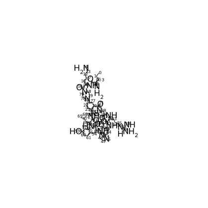 CC[C@H](C)[C@H](N)C(=O)N[C@H](CCCCN)C(=O)N1CCN(c2ccc3ncn(CC(=O)N[C@@H](CCCNC(=N)N)C(=O)N[C@@H](CC4=NCC=N4)C(=O)N[C@@H](Cc4ccc(O)cc4)C(=O)N[C@@H](CC(C)C)C(=O)NC)c(=O)c3c2)CC1